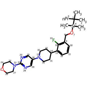 CCCC(C)(C)[Si](C)(C)OCc1cccc(C2CCN(c3cnc(N4CCOCC4)nc3)CC2)c1F